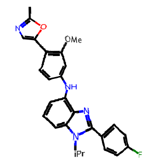 COc1cc(Nc2cccc3c2nc(-c2ccc(F)cc2)n3C(C)C)ccc1-c1cnc(C)o1